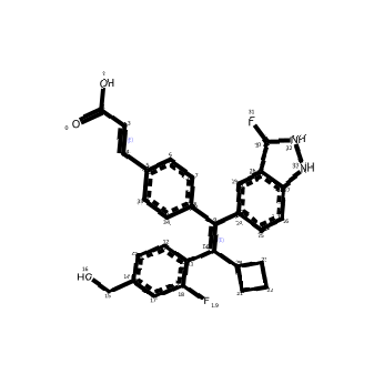 O=C(O)/C=C/c1ccc(/C(=C(\c2ccc(CO)cc2F)C2CCC2)c2ccc3c(c2)C(F)NN3)cc1